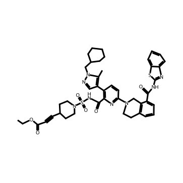 CCOC(=O)C#CC1CCN(S(=O)(=O)NC(=O)c2nc(N3CCc4cccc(C(=O)Nc5nc6ccccc6s5)c4C3)ccc2-c2cnn(CC3CCCCC3)c2C)CC1